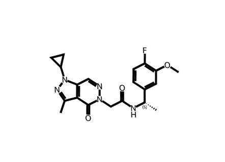 COc1cc([C@H](C)NC(=O)Cn2ncc3c(c(C)nn3C3CC3)c2=O)ccc1F